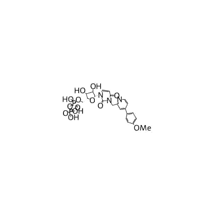 COc1ccc(-c2ccnc(Cn3c(=O)ccn([C@@H]4O[C@H](COP(=O)(O)OP(=O)(O)O)C(O)C4O)c3=O)c2)cc1